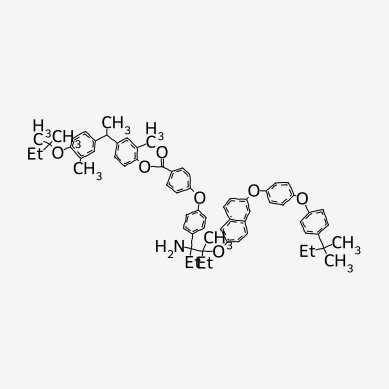 CCC(C)(C)Oc1ccc(C(C)c2ccc(OC(=O)c3ccc(Oc4ccc(C(N)(CC)C(C)(CC)Oc5ccc6cc(Oc7ccc(Oc8ccc(C(C)(C)CC)cc8)cc7)ccc6c5)cc4)cc3)c(C)c2)cc1C